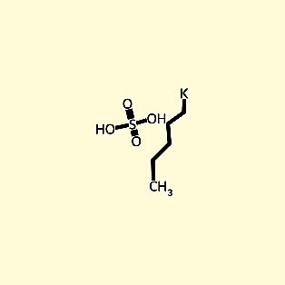 CCCC[CH2][K].O=S(=O)(O)O